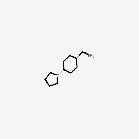 NC[C@H]1CC[C@H](N2CCCC2)CC1